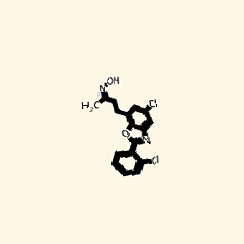 C/C(CCc1cc(Cl)cc2nc(-c3ccccc3Cl)oc12)=N/O